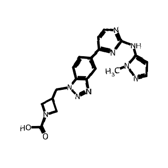 Cn1nccc1Nc1nccc(-c2ccc3c(c2)nnn3CC2CN(C(=O)O)C2)n1